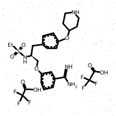 CCS(=O)(=O)N[C@H](COc1cccc(C(=N)N)c1)Cc1ccc(OC2CCNCC2)cc1.O=C(O)C(F)(F)F.O=C(O)C(F)(F)F